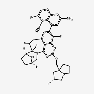 C#Cc1c(F)ccc2cc(N)cc(-c3cc4c5c(nc(OC[C@@]67CCCN6C[C@H](F)C7)nc5c3F)N3C[C@H]5CC[C@H](N5)[C@@H]3[C@@H](C)C4)c12